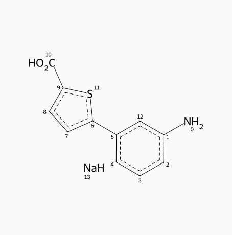 Nc1cccc(-c2ccc(C(=O)O)s2)c1.[NaH]